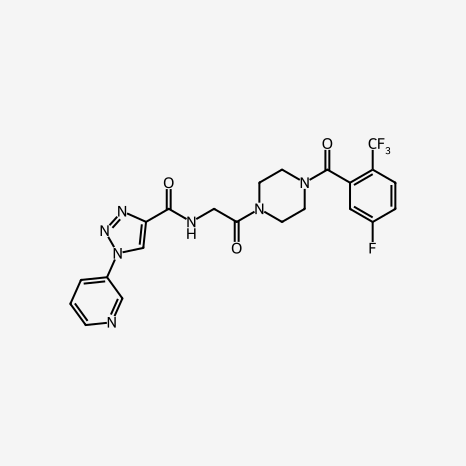 O=C(NCC(=O)N1CCN(C(=O)c2cc(F)ccc2C(F)(F)F)CC1)c1cn(-c2cccnc2)nn1